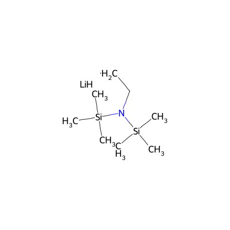 [CH2]CN([Si](C)(C)C)[Si](C)(C)C.[LiH]